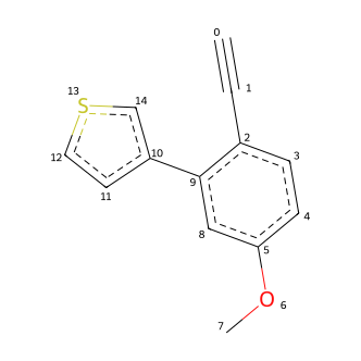 C#Cc1ccc(OC)cc1-c1ccsc1